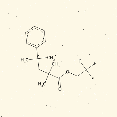 CC(C)(CC(C)(C)c1ccccc1)C(=O)OCC(F)(F)F